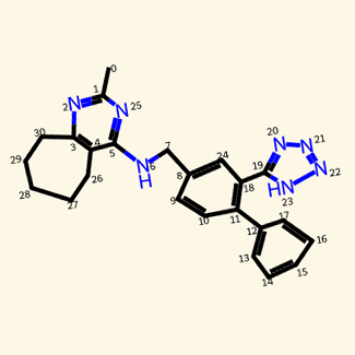 Cc1nc2c(c(NCc3ccc(-c4ccccc4)c(-c4nnn[nH]4)c3)n1)CCCCC2